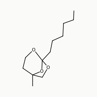 CCCCCCC12OCCC(C)(CO1)O2